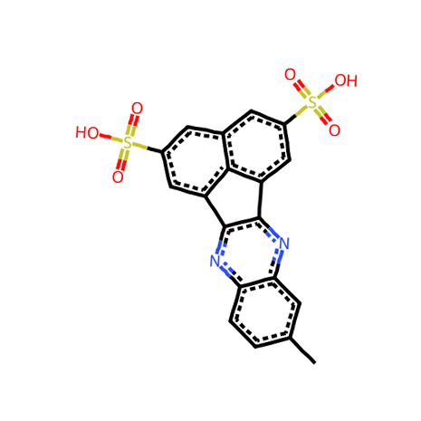 Cc1ccc2nc3c(nc2c1)-c1cc(S(=O)(=O)O)cc2cc(S(=O)(=O)O)cc-3c12